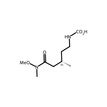 CON(C)C(=O)C[C@@H](C)CCNC(=O)O